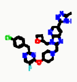 Cc1nnc(-c2cnc3c(c2)nc(CN2CCC(Oc4nc(Cc5ccc(Cl)cc5)ncc4F)CC2)n3CC2CCO2)[nH]1